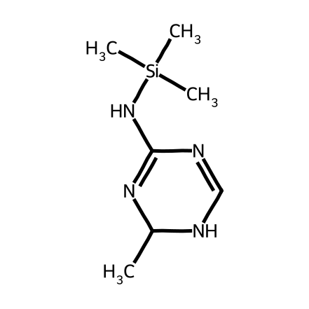 CC1N=C(N[Si](C)(C)C)N=CN1